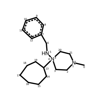 CN1CC[N+](NCc2ccccc2)(C2CCCCCC2)CC1